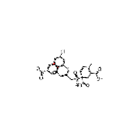 CC1=C(C(=O)O)CC(C(=O)O)(S(=O)(=O)CC(=Cc2cccc([N+](=O)[O-])c2)Sc2cc(Cl)ccc2Cl)C=C1